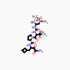 CCCCC(C)(CC)[C@H](NC(=O)N[C@H](CN(C)S(C)(=O)=O)C(C)(C)C)C(=O)N1CCC[C@H]1C(=O)NC(CC1CCC1)C(=O)C(N)=O